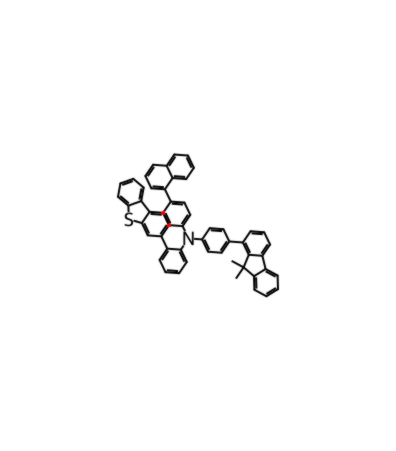 CC1(C)c2ccccc2-c2cccc(-c3ccc(N(c4ccc(-c5cccc6ccccc56)cc4)c4ccccc4-c4ccc5c(c4)sc4ccccc45)cc3)c21